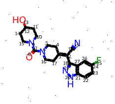 N#CC(=C1CCN(C(=O)N2CCC(O)CC2)CC1)c1n[nH]c2ccc(F)cc12